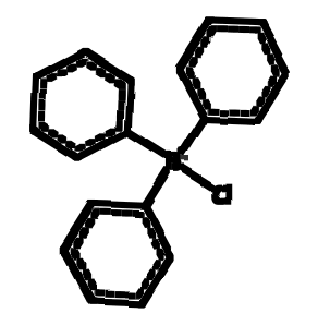 Cl[B-](c1ccccc1)(c1ccccc1)c1ccccc1